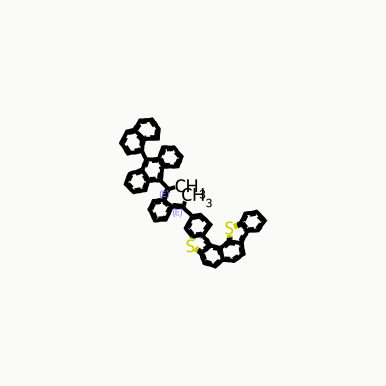 C/C(c1ccc2c(c1)sc1ccc3ccc4c5ccccc5sc4c3c12)=c1/cccc/c1=C(/C)c1c2ccccc2c(-c2cccc3ccccc23)c2ccccc12